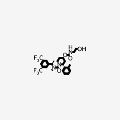 Cc1ccccc1[C@H]1C[C@H](OC(=O)NCCO)CCN1C(=O)N(C)[C@H](C)c1cc(C(F)(F)F)cc(C(F)(F)F)c1